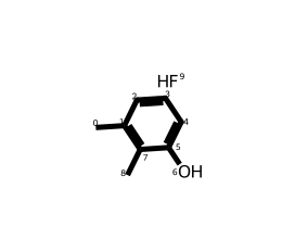 Cc1cccc(O)c1C.F